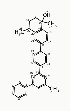 Cc1cc(-c2ccccc2)nc(-c2ccc(-c3ccc4c(c3)C(C)CCC4(C)O)nc2)n1